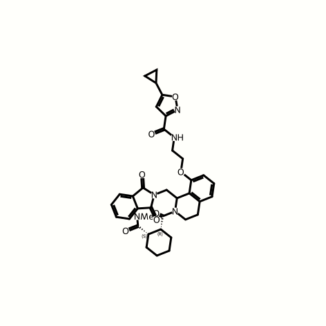 CNC(=O)[C@H]1CCCC[C@H]1C(=O)N1CCc2cccc(OCCNC(=O)c3cc(C4CC4)on3)c2C1CN1C(=O)c2ccccc2C1=O